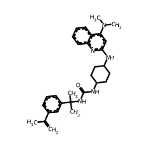 C=C(C)c1cccc(C(C)(C)NC(=O)NC2CCC(Nc3cc(N(C)C)c4ccccc4n3)CC2)c1